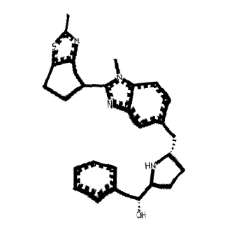 Cc1nc2c(s1)CCC2c1nc2cc(C[C@@H]3CCC([C@H](O)c4ccccc4)N3)ccc2n1C